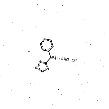 Cl.Cl.Cl.Cl.Cl.c1ccc(Cc2nc[nH]n2)cc1